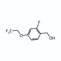 OCc1ccc(OCC(F)(F)F)cc1F